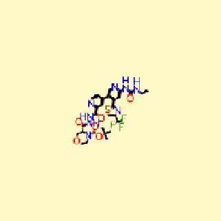 CCNC(=O)Nc1cc(-c2nc(C(F)(F)F)cs2)c(-c2ccnc(C(=O)NNC(=O)[C@@H]3COCCN3C(=O)OC(C)(C)C)c2)cn1